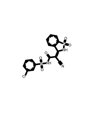 N#CC(C(=O)NS(=O)(=O)c1cccc(Cl)c1)=C1NS(=O)(=O)c2ccccc21